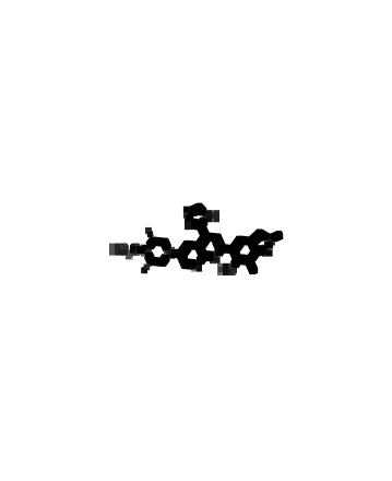 Cc1c(O)c(-c2cc(-c3nnc[nH]3)c3cc(N4C[C@@H](C)N(C(=O)O)[C@@H](C)C4)cnc3n2)cc2cn(C)nc12